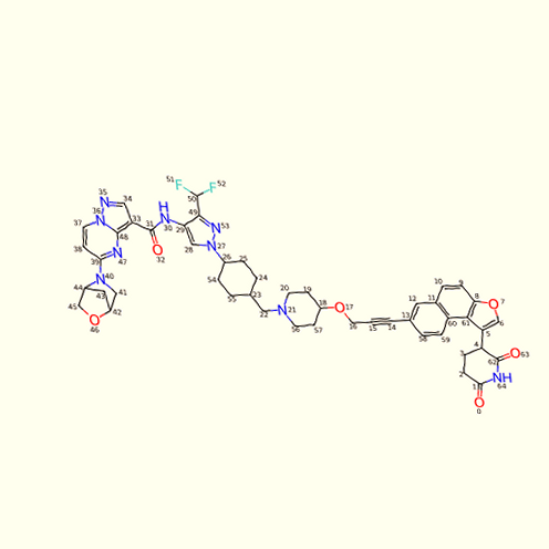 O=C1CCC(c2coc3ccc4cc(C#CCOC5CCN(CC6CCC(n7cc(NC(=O)c8cnn9ccc(N%10CC%11CC%10CO%11)nc89)c(C(F)F)n7)CC6)CC5)ccc4c23)C(=O)N1